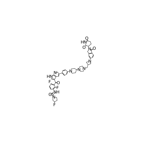 O=C1CCC(N2Cc3cc(N4CC(CN5CCN(C6CCN(c7ccc(-c8cnc9[nH]cc(C(=O)c%10c(F)ccc(N[S+]([O-])N%11CCC(F)C%11)c%10F)c9c8)cc7)CC6)CC5)C4)ccc3C2=O)C(=O)N1